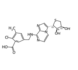 Cc1cc(CNc2nccn3c([C@@H]4SC[C@@H](O)[C@H]4O)cnc23)cc(C(=O)O)c1Cl